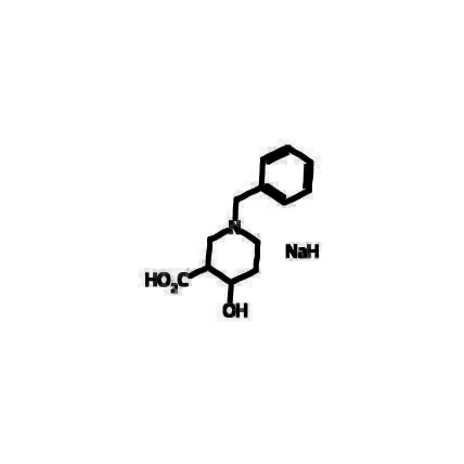 O=C(O)C1CN(Cc2ccccc2)CCC1O.[NaH]